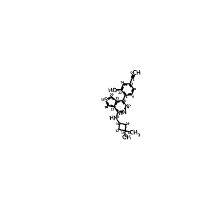 C#Cc1ccc(-c2nnc(NC3CC(C)(O)C3)c3cscc23)c(O)c1